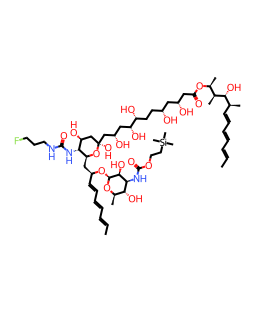 C/C=C/C=C/C=C/[C@@H](C[C@@H]1O[C@](O)(C[C@@H](O)C[C@@H](O)[C@H](O)CC[C@@H](O)C[C@@H](O)CC(=O)O[C@@H](C)[C@H](C)[C@H](O)[C@@H](C)/C=C/C=C/C=C/C)C[C@H](O)[C@H]1NC(=O)NCCCF)O[C@@H]1O[C@H](C)[C@@H](O)[C@H](NC(=O)OCC[Si](C)(C)C)[C@@H]1O